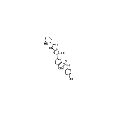 Cc1ccc(-c2sc(NC(=O)C3CCCCN3)nc2C)cc1S(=O)(=O)Nc1ccc(O)cc1